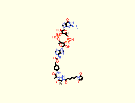 CC(NC(=O)C(NC(=O)CCCCCN1C(=O)C=CC1=O)C(C)C)C(=O)Nc1ccc(COC(=O)Nc2ncnc3c2ncn3[C@@H]2O[C@@H]3COP(=O)(O)OC4C(O)[C@H](n5cnc6c(=O)[nH]c(N)nc65)O[C@@H]4COP(=O)(O)OC3C2O)cc1